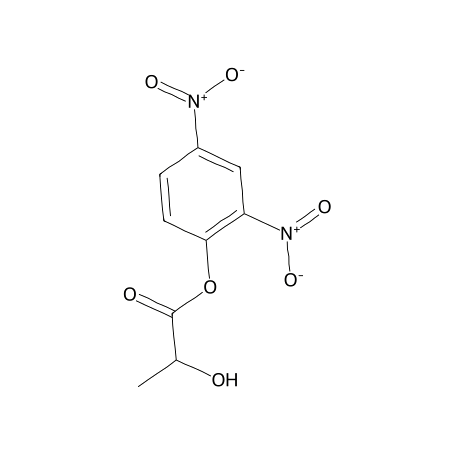 CC(O)C(=O)Oc1ccc([N+](=O)[O-])cc1[N+](=O)[O-]